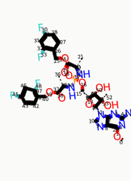 COc1nc(N)nc2c1ncn2[C@@H]1O[C@H](COP(=O)(N[C@@H](C)C(=O)OCc2ccc(F)cc2F)N[C@@H](C)C(=O)OCc2ccc(F)cc2F)[C@@H](O)[C@@]1(C)O